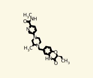 CC[C@@H]1Oc2ccc(CN3CCN(c4ccc(C(=O)NC)nc4)CC3C)cc2NC1=O